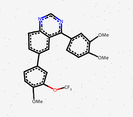 COc1ccc(-c2ncnc3ccc(-c4ccc(OC)c(OC(F)(F)F)c4)cc23)cc1OC